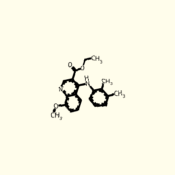 CCOC(=O)c1cnc2c(OC)cccc2c1Nc1cccc(C)c1C